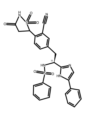 N#Cc1cc(C[C@H](NS(=O)(=O)c2ccccc2)c2ncc(-c3ccccc3)[nH]2)ccc1C1CC(=O)NS1(=O)=O